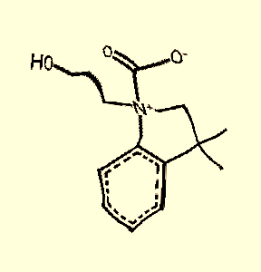 CC1(C)C[N+](CCO)(C(=O)[O-])c2ccccc21